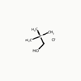 C[P+](C)(C)CO.[Cl-]